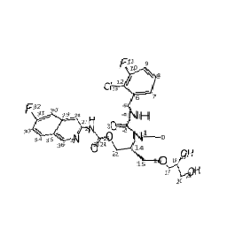 CN(C(=O)NCc1cccc(F)c1Cl)[C@@H](COC[C@@H](O)CO)COC(=O)Nc1cc2cc(F)ccc2cn1